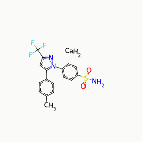 Cc1ccc(-c2cc(C(F)(F)F)nn2-c2ccc(S(N)(=O)=O)cc2)cc1.[CaH2]